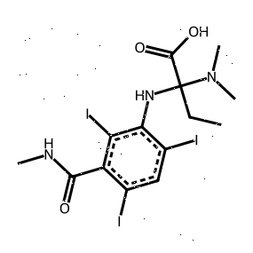 CCC(Nc1c(I)cc(I)c(C(=O)NC)c1I)(C(=O)O)N(C)C